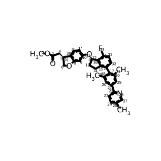 COC(=O)C[C@@H]1COc2cc(O[C@@H]3CCc4c(-c5c(C)cc(-c6ccc(C)cn6)cc5C)ccc(F)c43)ccc21